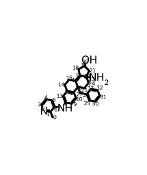 Cc1ncccc1Nc1ccc2c(c1)CCC1=C3CC(O)C[C@]3(N)CCC12Cc1ccccc1